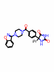 CC(C)C1(c2ccc(C(=O)N3CCN(c4noc5ccccc45)CC3)cc2)NC(=O)NC1=O